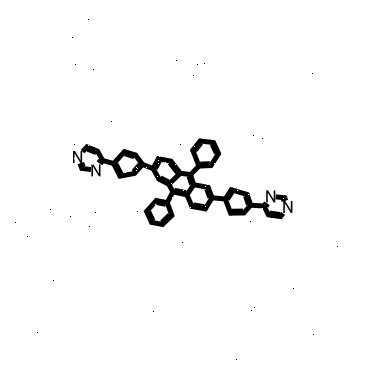 c1ccc(-c2c3ccc(-c4ccc(-c5ccncn5)cc4)cc3c(-c3ccccc3)c3ccc(-c4ccc(-c5ccncn5)cc4)cc23)cc1